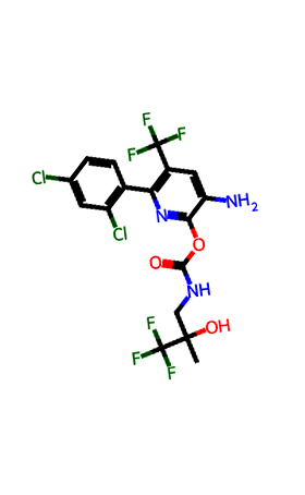 CC(O)(CNC(=O)Oc1nc(-c2ccc(Cl)cc2Cl)c(C(F)(F)F)cc1N)C(F)(F)F